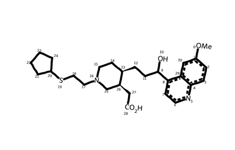 COc1ccc2nccc(C(O)CC[C@@H]3CCN(CCSC4CCCC4)C[C@@H]3CC(=O)O)c2c1